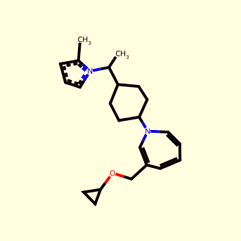 Cc1cccn1C(C)C1CCC(N2C=CC=CC(COC3CC3)=C2)CC1